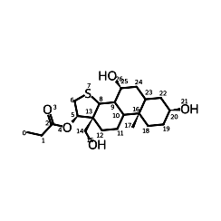 CCC(=O)O[C@H]1CSC2C3C(CC[C@@]21CO)[C@@]1(C)CC[C@H](O)CC1C[C@@H]3O